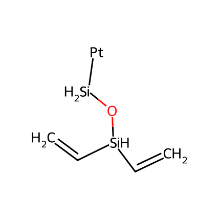 C=C[SiH](C=C)O[SiH2][Pt]